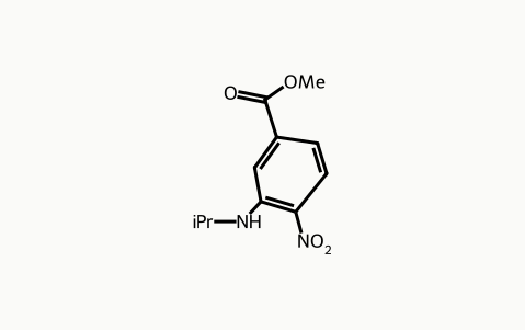 COC(=O)c1ccc([N+](=O)[O-])c(NC(C)C)c1